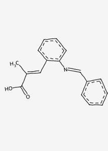 C/C(=C\c1ccccc1/N=C/c1ccccc1)C(=O)O